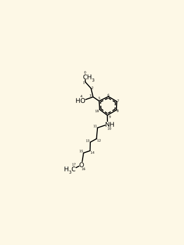 CCCC(O)c1cccc(NCCCCCOC)c1